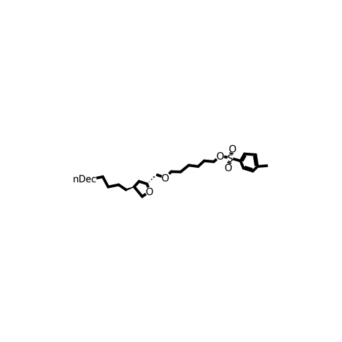 CCCCCCCCCCCCCC[C@@H]1CO[C@@H](COCCCCCCOS(=O)(=O)c2ccc(C)cc2)C1